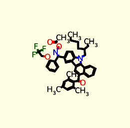 CCCCC(CC)Cn1c2ccc(/C(=N\OC(C)=O)c3ccccc3OCC(F)(F)F)cc2c2cc(C(=O)c3c(C)cc(C)cc3C)c3ccccc3c21